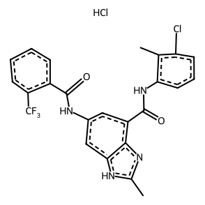 Cc1nc2c(C(=O)Nc3cccc(Cl)c3C)cc(NC(=O)c3ccccc3C(F)(F)F)cc2[nH]1.Cl